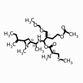 C=C(CC)C1C[C@@H]([C@H](C)NC(OC(=O)[C@@H](N)CSC)/C(=C\OCOC)CCOC(C)=O)N1C